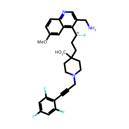 COc1ccc2ncc(CN)c([C@H](F)CCC3(C(=O)O)CCN(CC#Cc4c(F)cc(F)cc4F)CC3)c2c1